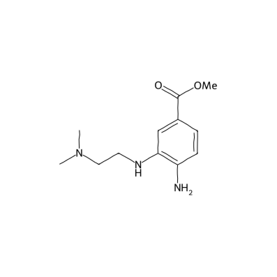 COC(=O)c1ccc(N)c(NCCN(C)C)c1